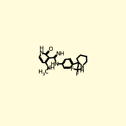 CNc1cc[nH]c(=O)c1C(=N)Nc1ccc(C2(C(F)(F)F)CCCCN2)cc1